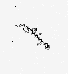 O=C([O-])COC[C@@H](O)[C@H](O)C=CC=CC#CC=C[C@H](O)COc1ccc(F)cc1.[K+]